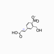 O=C(O)/C=C/c1ccc([N+](=O)[O-])c(CO)c1